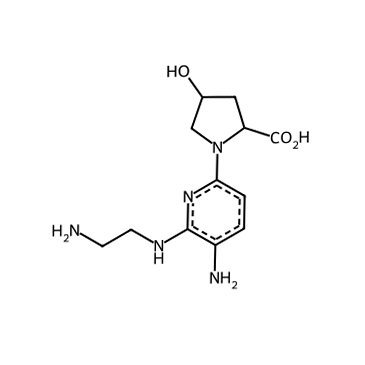 NCCNc1nc(N2CC(O)CC2C(=O)O)ccc1N